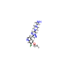 COc1cc2c(-c3cnn4cc(N5CCN(C6CNC6)CC5)cnc34)ccnc2cc1F